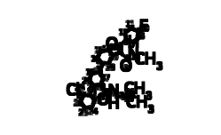 CNC(=O)c1c(-c2ccc(F)cc2)oc2ccc(-c3ccc(-c4ccccc4Cl)c(C(=O)NCC(C)C)c3)cc12